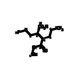 CC(C)(C)OC(=O)[C@@H](CCC(F)(F)F)[C@@H](CCF)C(=O)O